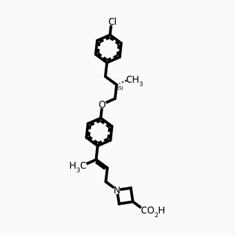 CC(=CCN1CC(C(=O)O)C1)c1ccc(OC[C@@H](C)Cc2ccc(Cl)cc2)cc1